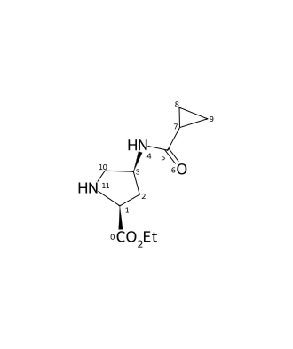 CCOC(=O)[C@@H]1C[C@H](NC(=O)C2CC2)CN1